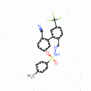 Cc1ccc(S(=O)(=O)NN=Cc2ccc(C(F)(F)F)cc2-c2ccccc2C#N)cc1